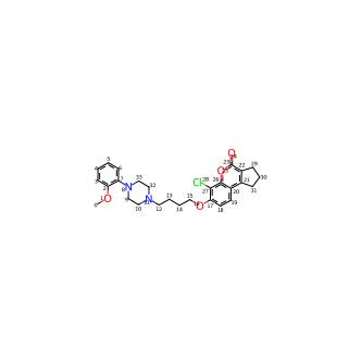 COc1ccccc1N1CCN(CCCCOc2ccc3c4c(c(=O)oc3c2Cl)CCC4)CC1